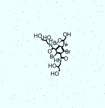 CN(C(=O)CO)c1c(Br)c(C(=O)NCC(O)CO)c(Br)c(C(=O)NCC(O)CO)c1Br